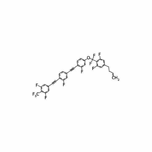 C=CCCc1cc(F)c(C(F)(F)Oc2ccc(C#Cc3ccc(C#Cc4cc(F)c(C(F)(F)F)c(F)c4)c(F)c3)c(F)c2)c(F)c1